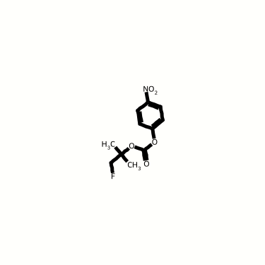 CC(C)(CF)OC(=O)Oc1ccc([N+](=O)[O-])cc1